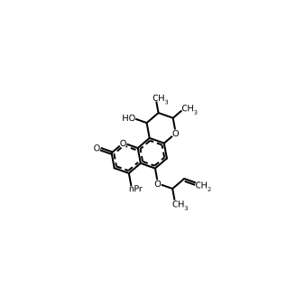 C=CC(C)Oc1cc2c(c3oc(=O)cc(CCC)c13)C(O)C(C)C(C)O2